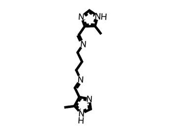 Cc1[nH]cnc1C=NCCCN=Cc1nc[nH]c1C